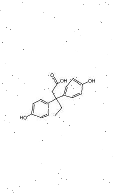 [CH2]CC(CC(=O)O)(c1ccc(O)cc1)c1ccc(O)cc1